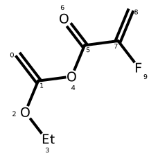 C=C(OCC)OC(=O)C(=C)F